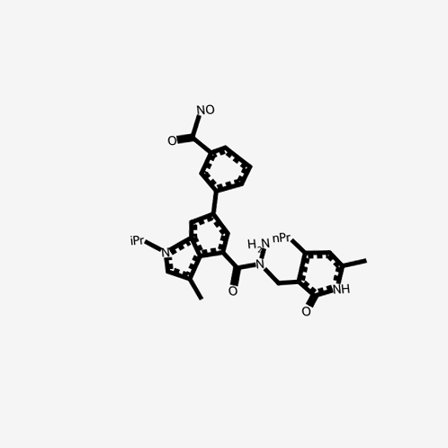 CCCc1cc(C)[nH]c(=O)c1CN(N)C(=O)c1cc(-c2cccc(C(=O)N=O)c2)cc2c1c(C)cn2C(C)C